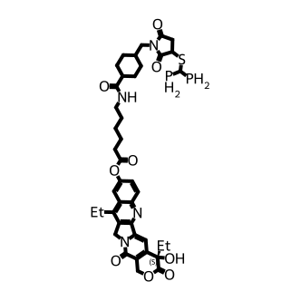 CCc1c2c(nc3ccc(OC(=O)CCCCCNC(=O)C4CCC(CN5C(=O)CC(SC(P)P)C5=O)CC4)cc13)-c1cc3c(c(=O)n1C2)COC(=O)[C@]3(O)CC